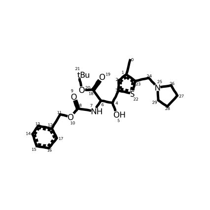 Cc1cc(C(O)C(NC(=O)OCc2ccccc2)C(=O)OC(C)(C)C)sc1CN1CCCC1